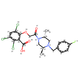 C[C@@H]1CN(Cc2ccc(F)cc2)[C@@H](C)CN1C(=O)COc1c(Cl)cc(Cl)c(Cl)c1C(=O)O